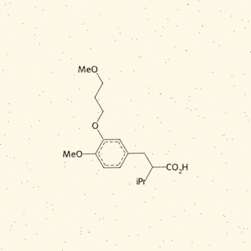 COCCCOc1cc(CC(C(=O)O)C(C)C)ccc1OC